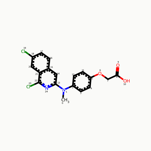 CN(c1ccc(OCC(=O)O)cc1)c1cc2ccc(Cl)cc2c(Cl)n1